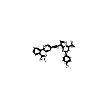 NC(=O)c1ccccc1-c1ccc(C#Cc2cnn3c(C(F)F)cc(-c4ccc(C(F)(F)F)cc4)nc23)cn1